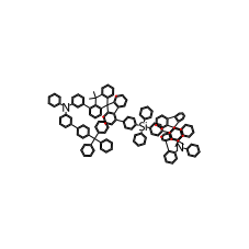 CC1(C)c2ccccc2C2(c3ccccc3-c3ccccc32)c2cccc(-c3ccccc3N(c3ccccc3)c3cccc(-c4ccc([Si](c5ccccc5)(c5ccccc5)c5ccc(-c6cccc7c6-c6ccccc6C76c7ccccc7C(C)(C)c7c(-c8cccc(N(c9ccccc9)c9cccc(-c%10ccc(C(c%11ccccc%11)(c%11ccccc%11)c%11ccccc%11)cc%10)c9)c8)cccc76)cc5)cc4)c3)c21